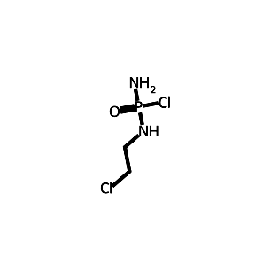 NP(=O)(Cl)NCCCl